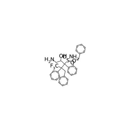 NCC(O)C(c1ccccc1OCc1ccccc1)(C(Cc1ccccc1)(c1ccccc1)C(F)(F)F)S(N)(=O)=O